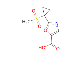 CS(=O)(=O)C1(c2ncc(C(=O)O)o2)CC1